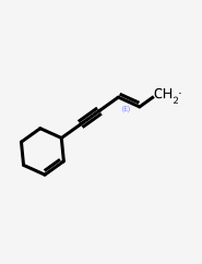 [CH2]/C=C/C#CC1C=CCCC1